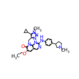 CCOc1cc2cnc(Nc3ccc(C4CCN(C)C4)cc3)nc2n(Cc2nnn(C)c2C2CC2)c1=O